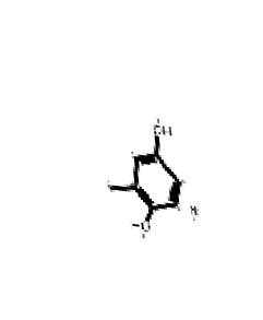 Cc1cc(O)ccc1O.[N]